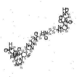 C[C@@H]1CN(c2cc(F)c(-c3cnc(N4CCN(C(=O)CCC(=O)NCCCCCNc5cccc6c5C(=O)N(C5CCC(=O)NC5=O)C6=O)CC4)nc3)cc2NC(=O)c2c[nH]c(=O)cc2C(F)(F)F)C[C@H](C)N1C